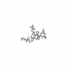 CC(C)SN1CCN(c2cnn(-c3cc(F)cc(F)c3)c(=O)c2OCCC(C)(C)F)CC1